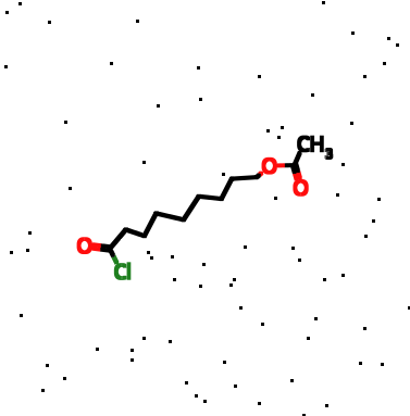 CC(=O)OCCCCCCCCC(=O)Cl